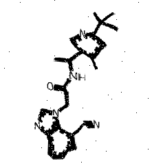 Cc1cc(C(C)(C)C)ncc1C(C)NC(=O)Cn1cnc2cccc(C#N)c21